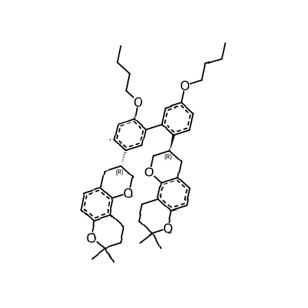 CCCCOc1ccc([C@@H]2COc3c(ccc4c3CCC(C)(C)O4)C2)c(-c2cc([C@@H]3COc4c(ccc5c4CCC(C)(C)O5)C3)[c]cc2OCCCC)c1